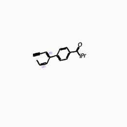 C#C/C=C(\C=C/C)c1ccc(C(=O)C(C)C)cc1